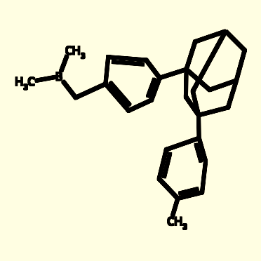 CB(C)Cc1ccc(C23CC4CC(CC(c5ccc(C)cc5)(C4)C2)C3)cc1